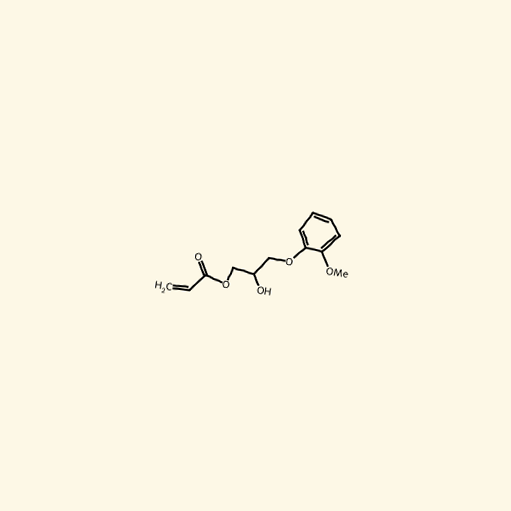 C=CC(=O)OCC(O)COc1ccccc1OC